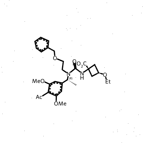 CCO[C@H]1C[C@@](NC(=O)N(CCOCc2ccccc2)[C@H](C)c2cc(OC)c(C(C)=O)c(OC)c2)(C(=O)O)C1